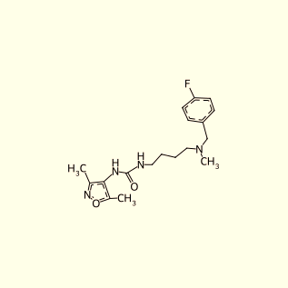 Cc1noc(C)c1NC(=O)NCCCCN(C)Cc1ccc(F)cc1